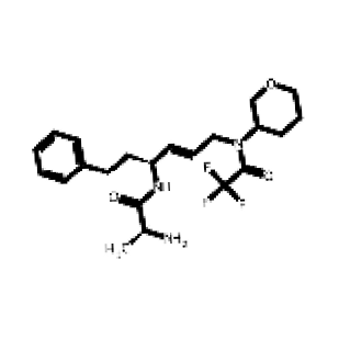 C[C@H](N)C(=O)N[C@H](/C=C/CN(C(=O)C(F)(F)F)C1CCCOC1)CCc1ccccc1